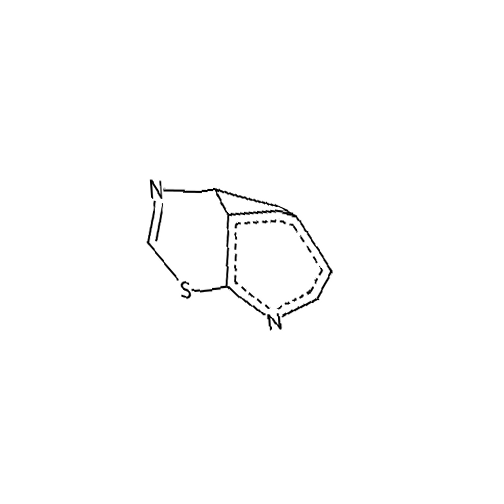 C1=NC2c3ccnc(c32)S1